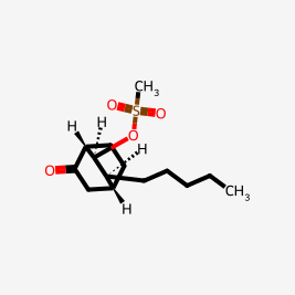 CCCCC[C@H]1[C@@H]2CC[C@@H](C(=O)C2)[C@H]1OS(C)(=O)=O